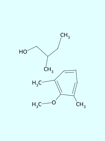 CCC(C)CO.COc1c(C)cccc1C